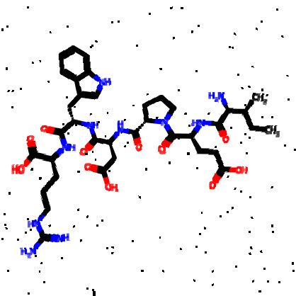 CC[C@H](C)[C@H](N)C(=O)N[C@@H](CCC(=O)O)C(=O)N1CCC[C@H]1C(=O)N[C@@H](CC(=O)O)C(=O)N[C@@H](Cc1c[nH]c2ccccc12)C(=O)N[C@@H](CCCNC(=N)N)C(=O)O